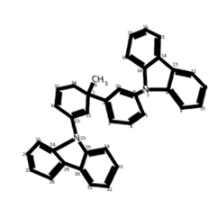 CC1(c2cccc(-n3c4ccccc4c4ccccc43)c2)C=C(n2c3ccccc3c3ccccc32)C=CC1